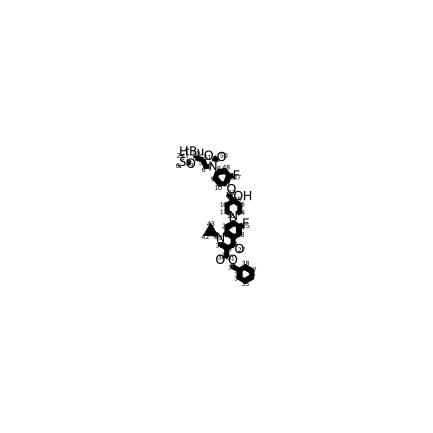 C[SiH](C)OC(C1CN(c2ccc(OCC3(O)CCN(c4cc5c(cc4F)c(=O)c(C(=O)OCc4ccccc4)cn5C4CC4)CC3)c(F)c2)C(=O)O1)C(C)(C)C